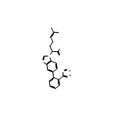 CC(C)=CCCC(C(=O)O)n1cnc2cc(-c3ccccc3-c3nn[nH]n3)ccc21